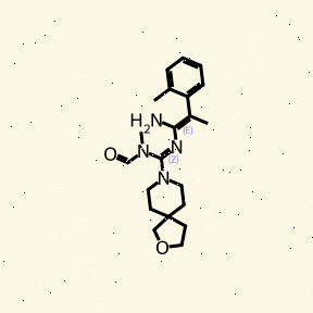 C/C(=C(N)\N=C(/N(C)C=O)N1CCC2(CCOC2)CC1)c1ccccc1C